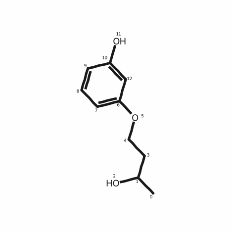 CC(O)CCOc1cccc(O)c1